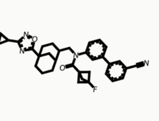 N#Cc1cccc(-c2cccc(N(CC3CCC4(c5nc(C6CC6)no5)CCCC3C4)C(=O)C34CC(F)(C3)C4)c2)c1